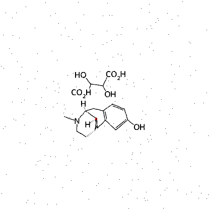 CN1CC[C@@]23CCCC[C@@H]2[C@@H]1Cc1ccc(O)cc13.O=C(O)C(O)C(O)C(=O)O